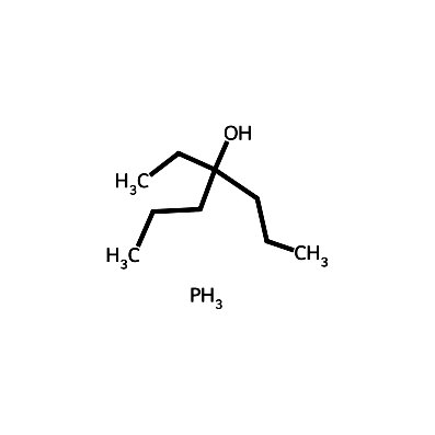 CCCC(O)(CC)CCC.P